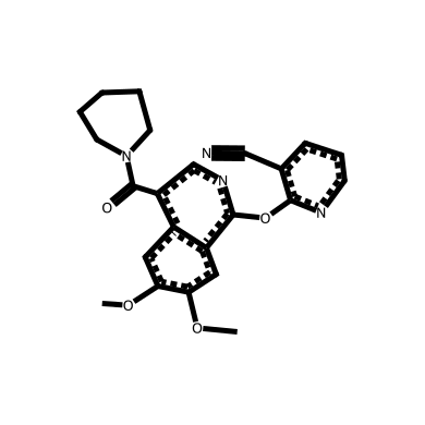 COc1cc2c(C(=O)N3CCCCC3)cnc(Oc3ncccc3C#N)c2cc1OC